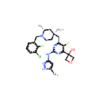 CC[C@@H]1C[C@](Cc2nc(Nc3cc(C)[nH]n3)nc(C3(O)COC3)c2F)(C(=O)O)CCN1Cc1cccc(Cl)c1F